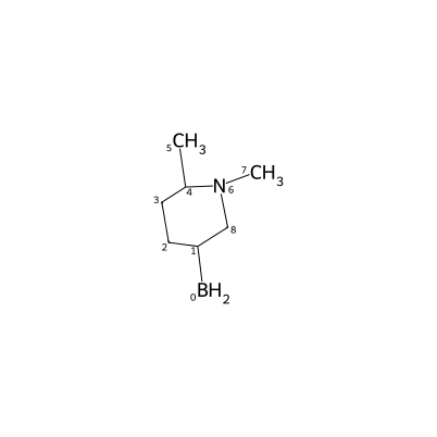 BC1CCC(C)N(C)C1